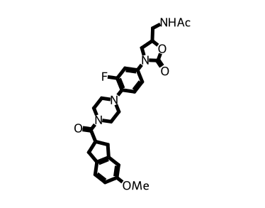 COc1ccc2c(c1)CC(C(=O)N1CCN(c3ccc(N4CC(CNC(C)=O)OC4=O)cc3F)CC1)C2